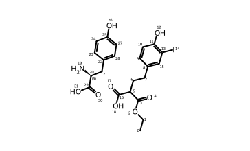 CCOC(=O)C(CCc1ccc(O)c(I)c1)C(=O)O.N[C@@H](Cc1ccc(O)cc1)C(=O)O